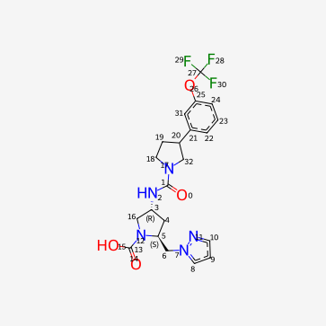 O=C(N[C@@H]1C[C@@H](Cn2cccn2)N(C(=O)O)C1)N1CCC(c2cccc(OC(F)(F)F)c2)C1